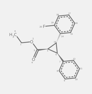 CCOC(=O)[C@@H]1[C@H](c2ccccc2)[C@H]1c1ccccc1F